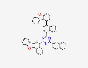 c1ccc2cc(-c3nc(-c4ccc(-c5cccc6oc7ccccc7c56)c5ccccc45)nc(-c4cc5c6ccccc6oc5c5ccccc45)n3)ccc2c1